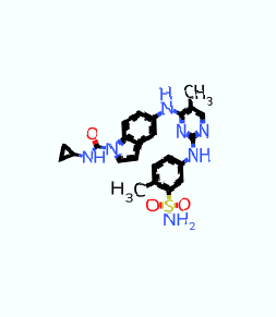 Cc1ccc(Nc2ncc(C)c(Nc3ccc4c(ccn4C(=O)NC4CC4)c3)n2)cc1S(N)(=O)=O